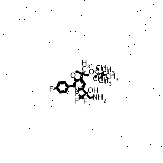 CC(C)(C)[Si](C)(C)OC[C@@]1(C)COc2c1cc(C(O)(CN)C(F)(F)F)nc2-c1ccc(F)cc1